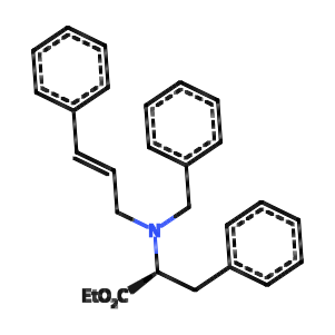 CCOC(=O)[C@H](Cc1ccccc1)N(CC=Cc1ccccc1)Cc1ccccc1